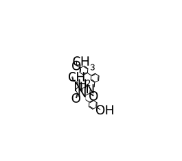 C=CCN1CC(=O)N2[C@@H]1CN(Cc1cccc(-c3ccc(OC)cc3)c1)C(=O)[C@@H]2Cc1ccc(O)cc1